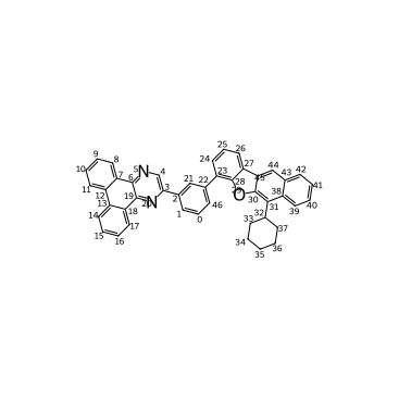 c1cc(-c2cnc3c4ccccc4c4ccccc4c3n2)cc(-c2cccc3c2oc2c(C4CCCCC4)c4ccccc4cc23)c1